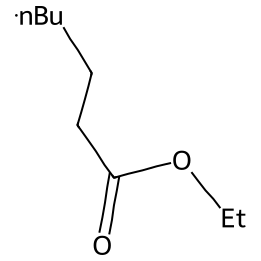 CCC[CH]CCC(=O)OCC